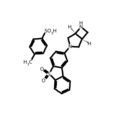 Cc1ccc(S(=O)(=O)O)cc1.O=S1(=O)c2ccccc2-c2cc(N3C[C@@H]4CN[C@@H]4C3)ccc21